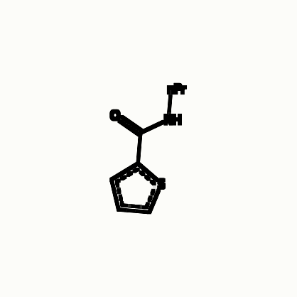 C[CH]CNC(=O)c1cccs1